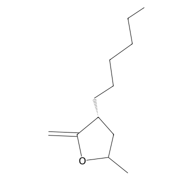 C=C1OC(C)C[C@H]1CCCCCC